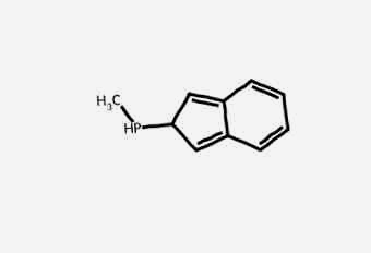 CPC1C=c2ccccc2=C1